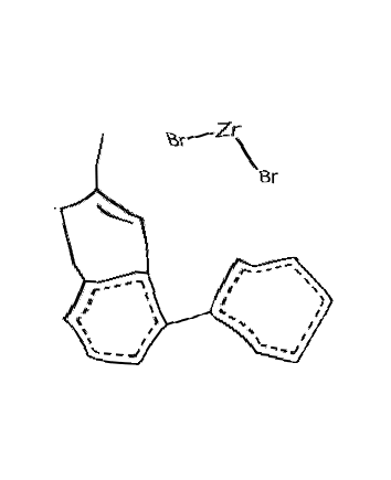 CC1=Cc2c(cccc2-c2ccccc2)[CH]1.[Br][Zr][Br]